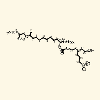 CCCCCCC(CCCC)COC(=O)CCCCCCCCC(CCCCCC)OC(=O)OCCN(CCO)CCCN(CC)CC